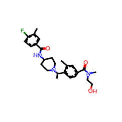 Cc1cc(C(=O)NC2CCN(C(C)c3ccc(C(=O)N(C)CCO)cc3C)CC2)ccc1F